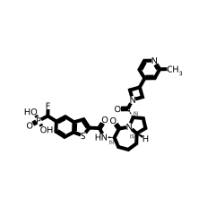 Cc1cc(C2CN(C(=O)[C@@H]3CC[C@@H]4CCC[C@H](NC(=O)c5cc6cc(C(F)P(=O)(O)O)ccc6s5)C(=O)N43)C2)ccn1